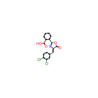 O=C1OC(c2ccccc2C(=O)O)=NC1=Cc1ccc(Cl)c(Cl)c1